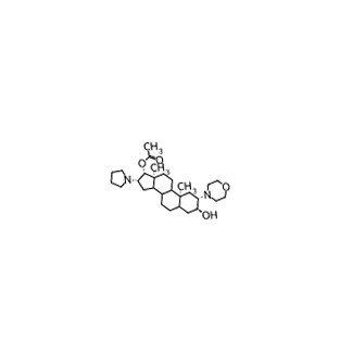 CC(=O)O[C@H]1[C@@H](N2CCCC2)CC2C3CCC4C[C@H](O)[C@@H](N5CCOCC5)C[C@]4(C)C3CC[C@@]21C